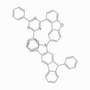 c1ccc(-c2nc(-c3ccccc3)nc(-c3cccc4oc5ccc(-n6c7ccccc7c7cc8c(cc76)C(c6ccccc6)c6ccccc6-8)cc5c34)n2)cc1